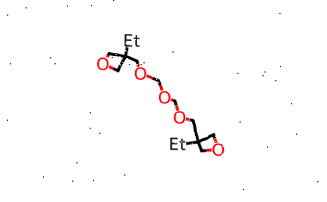 CCC1(COCOCOCC2(CC)COC2)COC1